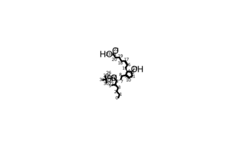 CCCCC(C)[C@@H](CCC1=CC[C@H](O)[C@@H]1C/C=C\CCCC(=O)O)O[Si](C)(C)C(C)(C)C